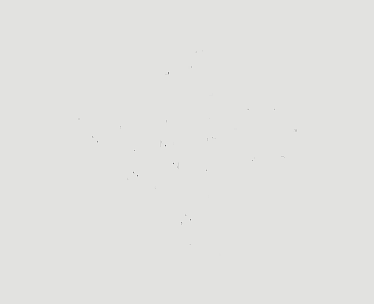 CN(C)Cc1nc(CN2CCOCC2)nn1-c1ccc(Cl)cc1C(=O)c1ccccc1